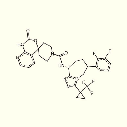 O=C1Nc2ncccc2C2(CCN(C(=O)N[C@@H]3CC[C@@H](c4cccc(F)c4F)Cn4c3nnc4C3(C(F)(F)F)CC3)CC2)O1